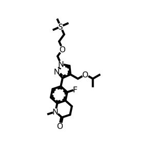 CC(C)OCc1cn(COCCS(C)(C)C)nc1-c1ccc2c(c1F)CCC(=O)N2C